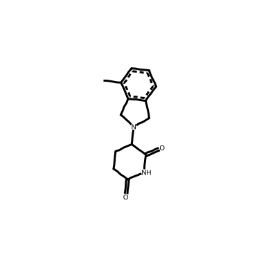 Cc1cccc2c1CN(C1CCC(=O)NC1=O)C2